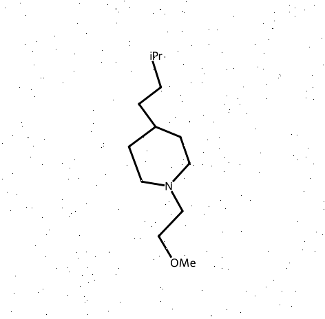 COCCN1CCC(CCC(C)C)CC1